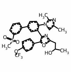 Cc1cn(-c2ccc(-c3cccc(S(C)(=O)=O)c3)cc2-c2nc(CC(C)O)oc2-c2ccc(OC(F)(F)F)cc2)c(C)n1